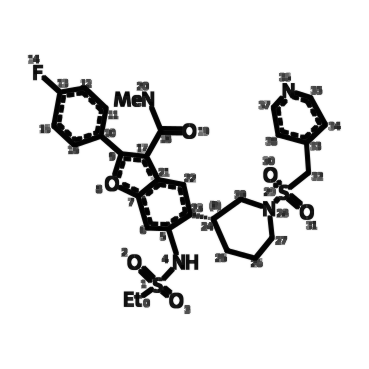 CCS(=O)(=O)Nc1cc2oc(-c3ccc(F)cc3)c(C(=O)NC)c2cc1[C@H]1CCCN(S(=O)(=O)Cc2ccncc2)C1